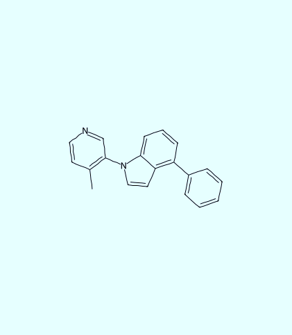 Cc1ccncc1-n1ccc2c(-c3ccccc3)cccc21